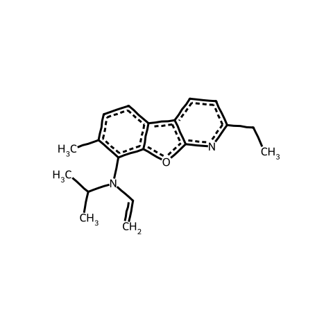 C=CN(c1c(C)ccc2c1oc1nc(CC)ccc12)C(C)C